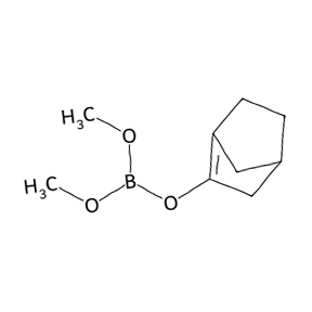 COB(OC)OC1=C2CCC(C2)C1